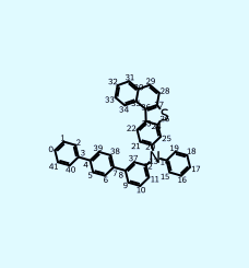 c1ccc(-c2ccc(-c3cccc(N(c4ccccc4)c4ccc5c(c4)sc4ccc6ccccc6c45)c3)cc2)cc1